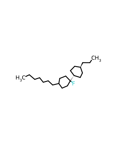 CCCCCCCC1CCC(F)([C@H]2CC[C@H](CCC)CC2)CC1